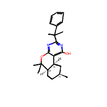 C[C@H]1CC[C@@H]2[C@H](C1)c1c(O)nc(C(C)(C)c3ccccc3)nc1OC2(C)C